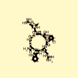 CC(=O)N[C@@H](CCCNC(=N)N)C(=O)N[C@H]1CCC(=O)NCCC[C@@H](C(N)=O)NC(=O)[C@H](Cc2c[nH]c3ccccc23)NC(=O)[C@H](CCCNC(=N)N)NC(=O)[C@@H](Cc2ccccc2Cl)NC(=O)C([C@@H](C)O)NC1=O